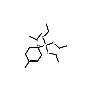 CCO[Si](OCC)(OCC)[C@@]1(C(C)C)CC=C(C)CC1